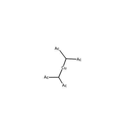 CC(=O)[CH]([Cu][CH](C(C)=O)C(C)=O)C(C)=O